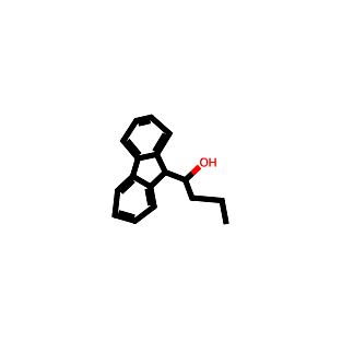 CCCC(O)C1c2ccccc2-c2ccccc21